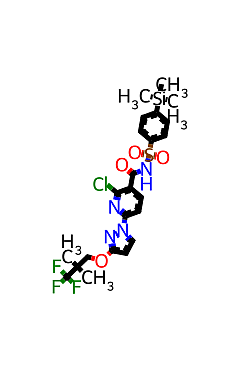 CC(C)(COc1ccn(-c2ccc(C(=O)NS(=O)(=O)c3ccc([Si](C)(C)C)cc3)c(Cl)n2)n1)C(F)(F)F